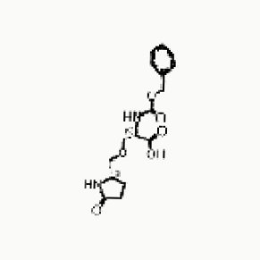 O=C1CC[C@@H](COC[C@H](NC(=O)OCc2ccccc2)C(=O)O)N1